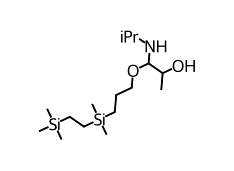 CC(C)NC(OCCC[Si](C)(C)CC[Si](C)(C)C)C(C)O